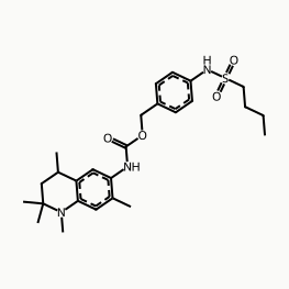 CCCCS(=O)(=O)Nc1ccc(COC(=O)Nc2cc3c(cc2C)N(C)C(C)(C)CC3C)cc1